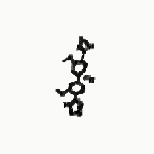 COc1cc(-c2ccc(-[n+]3nnc[nH]3)c(OC)c2)ccc1-[n+]1nnc[nH]1.[Cl-].[Cl-]